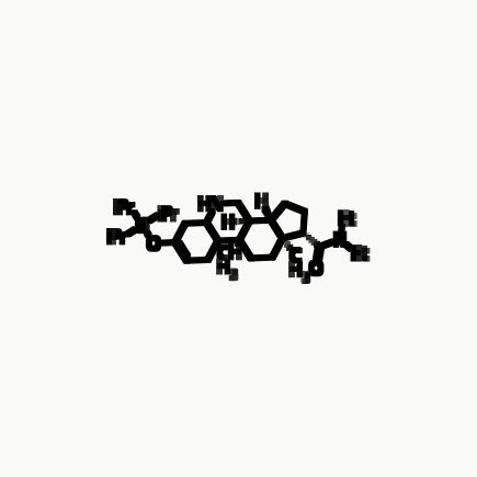 CCN(CC)C(=O)[C@H]1CC[C@H]2[C@@H]3CNC4CC(O[Si](C(C)C)(C(C)C)C(C)C)=CC[C@]4(C)[C@H]3CC[C@]12C